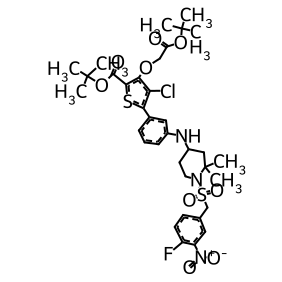 CC(C)(C)OC(=O)COc1c(C(=O)OC(C)(C)C)sc(-c2cccc(NC3CCN(S(=O)(=O)Cc4ccc(F)c([N+](=O)[O-])c4)C(C)(C)C3)c2)c1Cl